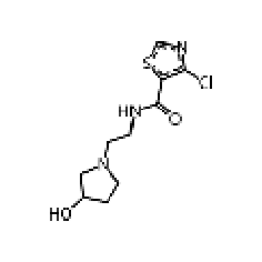 O=C(NCCN1CCC(O)C1)c1scnc1Cl